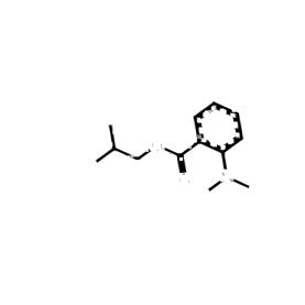 CC(C)COC(=O)c1ccccc1N(C)C